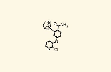 NC(=O)c1ccc(Oc2cccnc2Cl)cc1C1CC2CCN(CC2)C1